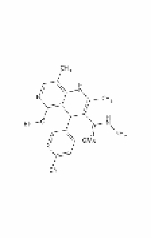 CCOc1ncc(C)c2c1C(c1ccc(C#N)cc1OC)C(C(=O)NN)=C(C)N2